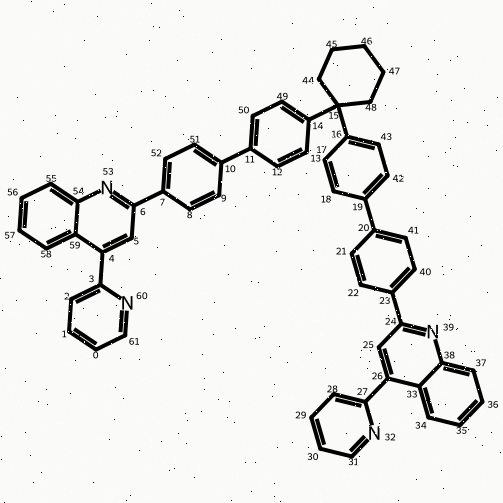 c1ccc(-c2cc(-c3ccc(-c4ccc(C5(c6ccc(-c7ccc(-c8cc(-c9ccccn9)c9ccccc9n8)cc7)cc6)CCCCC5)cc4)cc3)nc3ccccc23)nc1